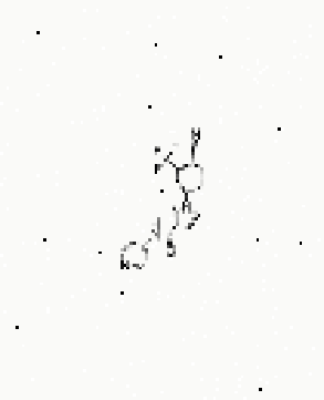 N#Cc1ccc(-n2ccc(C(=O)Nc3ccncc3)n2)cc1C(F)(F)F